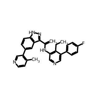 C=C(Nc1cncc(-c2ccc(F)cc2)c1CC)c1n[nH]c2ccc(-c3cnccc3C)cc12